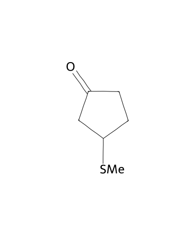 CSC1CCC(=O)C1